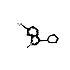 Cn1cc(C2CCCCC2)c2ccc(N)cc21